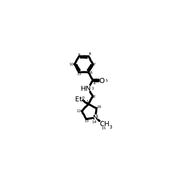 CCC1(CNC(=O)c2ccccc2)CCN(C)C1